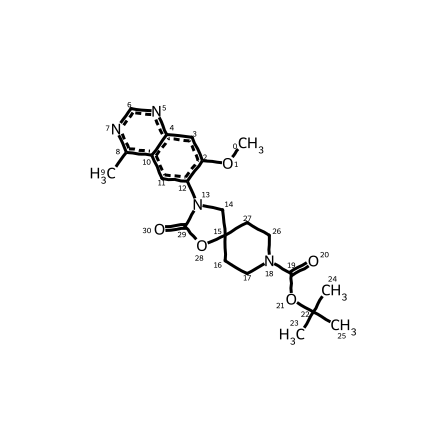 COc1cc2ncnc(C)c2cc1N1CC2(CCN(C(=O)OC(C)(C)C)CC2)OC1=O